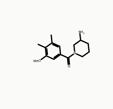 BC1CCCN(C(=O)c2cc(C)c(C)c(OC)c2)C1